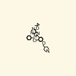 CN1CCC(COc2ccc(-c3nc4c(OC5(C)CC5)ncnc4n3Cc3ccccc3)c(Cl)c2)CC1